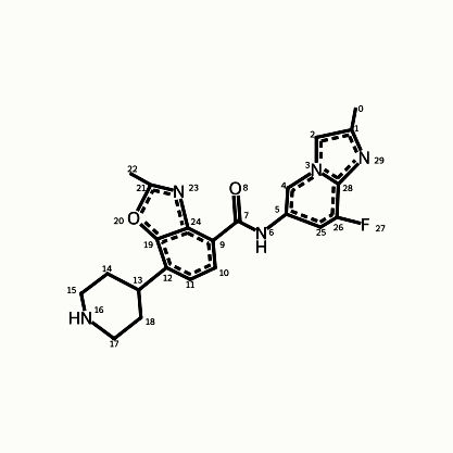 Cc1cn2cc(NC(=O)c3ccc(C4CCNCC4)c4oc(C)nc34)cc(F)c2n1